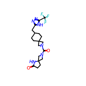 O=C1CCC2(CN(C(=O)N3CC4(CCC(Cc5nnc(C(F)(F)F)[nH]5)CC4)C3)C2)N1